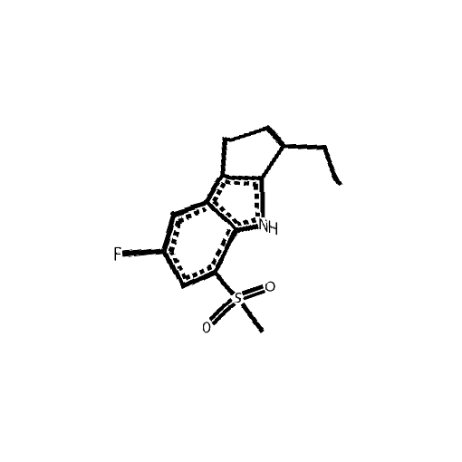 CCC1CCc2c1[nH]c1c(S(C)(=O)=O)cc(F)cc21